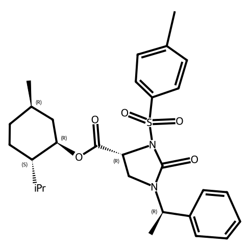 Cc1ccc(S(=O)(=O)N2C(=O)N([C@H](C)c3ccccc3)C[C@@H]2C(=O)O[C@@H]2C[C@H](C)CC[C@H]2C(C)C)cc1